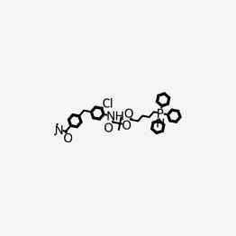 CN(C)C(=O)c1ccc(Cc2ccc(NC(=O)C(C)(C)OC(=O)CCCC[PH](c3ccccc3)(c3ccccc3)c3ccccc3)c(Cl)c2)cc1